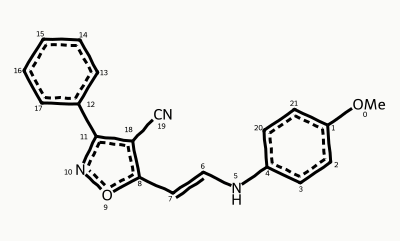 COc1ccc(NC=Cc2onc(-c3ccccc3)c2C#N)cc1